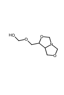 OCOCC1OCN2COCC12